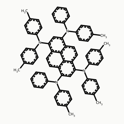 Cc1ccc(N(c2ccccc2)c2cc(N(c3ccc(C)cc3)c3ccc(C)cc3)c3ccc4c(N(c5ccccc5)c5ccc(C)cc5)cc(N(c5ccc(C)cc5)c5ccc(C)cc5)c5ccc2c3c45)cc1